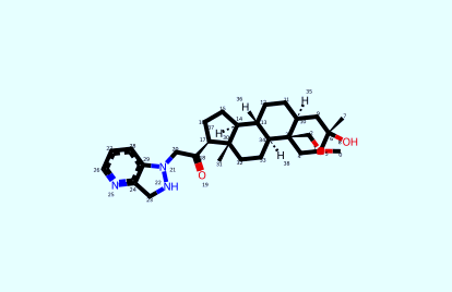 COC[C@]12CC[C@@](C)(O)C[C@@H]1CC[C@H]1[C@@H]3CC[C@H](C(=O)CN4NCc5ncccc54)[C@@]3(C)CC[C@@H]12